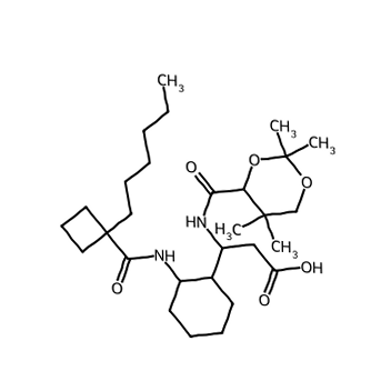 CCCCCCC1(C(=O)NC2CCCCC2C(CC(=O)O)NC(=O)C2OC(C)(C)OCC2(C)C)CCC1